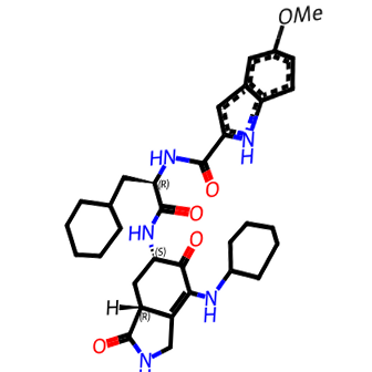 COc1ccc2[nH]c(C(=O)N[C@H](CC3CCCCC3)C(=O)N[C@H]3C[C@H]4C(=O)NCC4=C(NC4CCCCC4)C3=O)cc2c1